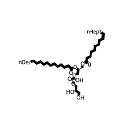 CCCCCCC/C=C\CCCCCCCC(=O)OC[C@H](COP(=O)(O)OC[C@@H](O)CO)OC(=O)CCCCCCCCCCCCCCCCCCCCC